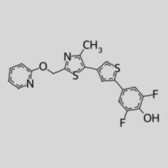 Cc1nc(COc2ccccn2)sc1-c1csc(-c2cc(F)c(O)c(F)c2)c1